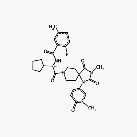 Cc1ccc(F)c(C(=O)N[C@@H](C(=O)N2CCC3(CC2)C(=O)N(C)C(=O)N3c2ccc(=O)n(C)c2)C2CCCC2)c1